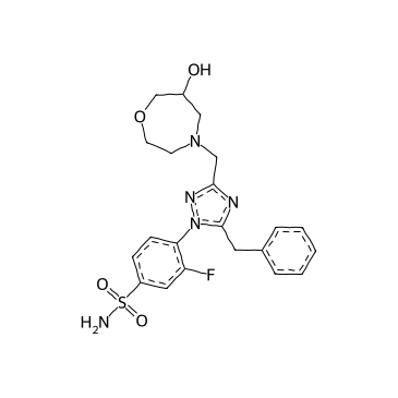 NS(=O)(=O)c1ccc(-n2nc(CN3CCOCC(O)C3)nc2Cc2ccccc2)c(F)c1